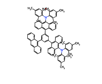 Cc1cc(C)c(N(c2c(C)cc(C)cc2C)c2c3c(c(-c4cc(-c5c6ccccc6cc6ccccc56)cc(-c5c6ccccc6c(N(c6c(C)cc(C)cc6C)c6c(C)cc(C)cc6C)c6ccccc56)c4)c4ccccc24)C=CCC3)c(C)c1